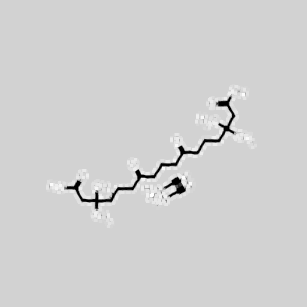 CC(C)(CCCC(=O)CCCC(=O)CCCC(C)(C)CC(=O)O)CC(=O)O.N#CN.N#CN